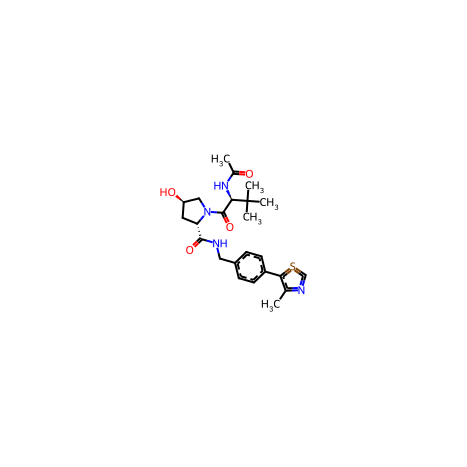 CC(=O)N[C@H](C(=O)N1C[C@H](O)C[C@H]1C(=O)NCc1ccc(-c2scnc2C)cc1)C(C)(C)C